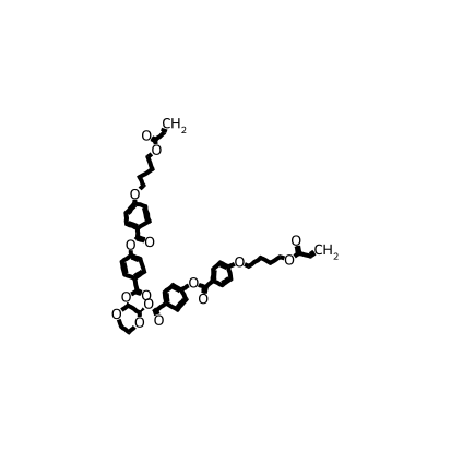 C=CC(=O)OCCCCOc1ccc(C(=O)Oc2ccc(C(=O)O[C@H]3OCCO[C@@H]3OC(=O)c3ccc(OC(=O)c4ccc(OCCCCOC(=O)C=C)cc4)cc3)cc2)cc1